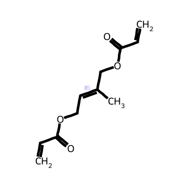 C=CC(=O)OC/C=C(\C)COC(=O)C=C